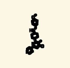 COc1ccc(CNC2CCN(c3nc(-c4ccncc4)cc(=O)n3C)CC2)cc1